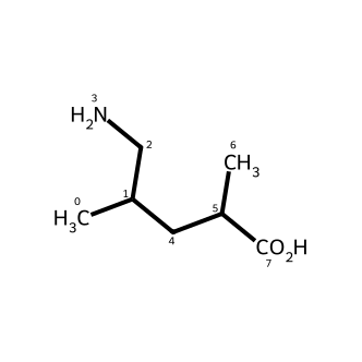 CC(CN)CC(C)C(=O)O